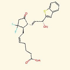 O=C(O)CCC/C=C\C[C@@H]1[C@@H](/C=C/[C@@H](O)c2cc3ccccc3s2)C(=O)CC1(F)F